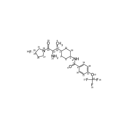 C[C@@H](C1CCC(NC(=O)c2ccc(OC(F)(F)F)cc2)CC1)C(N)C(=O)N1CC[C@H](F)C1